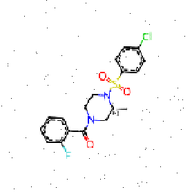 C[C@H]1CN(C(=O)c2ccccc2F)CCN1S(=O)(=O)c1ccc(Cl)cc1